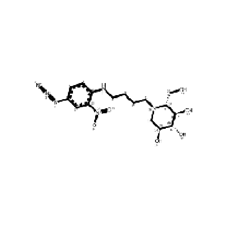 [N-]=[N+]=Nc1ccc(NCCCCN2C[C@H](O)[C@@H](O)[C@H](O)[C@H]2CO)c([N+](=O)[O-])c1